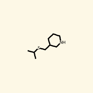 CC(C)SCC1CCCNC1